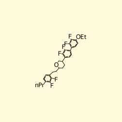 CCCc1ccc(CCC2CCC(c3ccc(-c4ccc(OCC)c(F)c4F)c(F)c3F)CO2)c(F)c1F